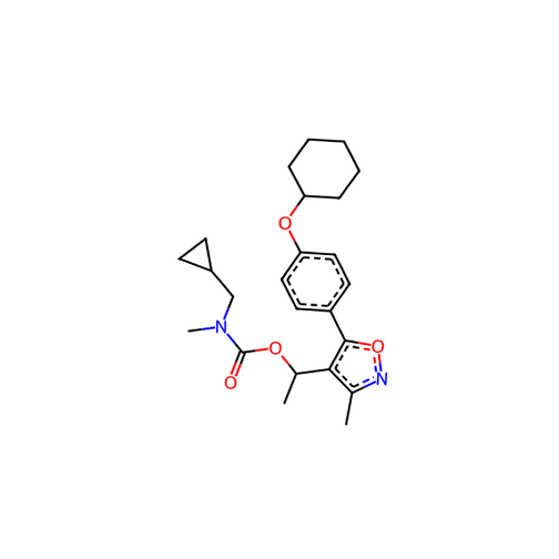 Cc1noc(-c2ccc(OC3CCCCC3)cc2)c1C(C)OC(=O)N(C)CC1CC1